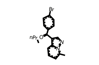 CCCC.Cc1cccc2c(C(=O)c3ccc(Br)cc3)cnn12